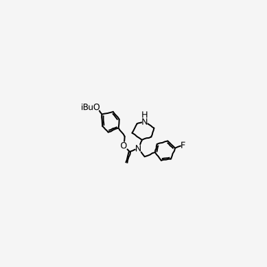 C=C(OCc1ccc(OCC(C)C)cc1)N(Cc1ccc(F)cc1)C1CCNCC1